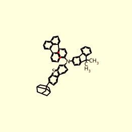 CC1(C)c2ccccc2-c2cc(N(c3ccc(-c4cccc5cccc(-c6ccccc6)c45)cc3)c3ccc4c(c3)sc3cc(C56CC7CC(CC(C7)C5)C6)ccc34)ccc21